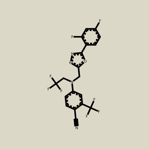 N#Cc1ccc(N(Cc2nnc(-c3ccc(F)cc3F)o2)CC(F)(F)F)cc1C(F)(F)F